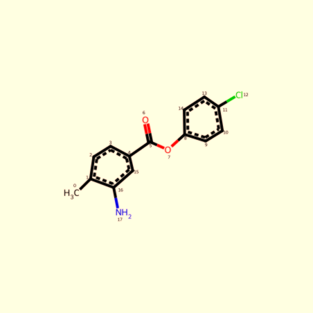 Cc1ccc(C(=O)Oc2ccc(Cl)cc2)cc1N